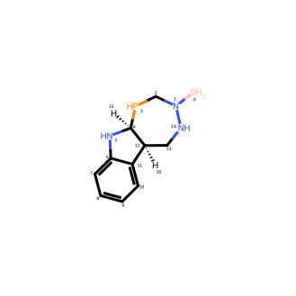 BN1CP[C@@H]2Nc3ccccc3[C@@H]2CN1